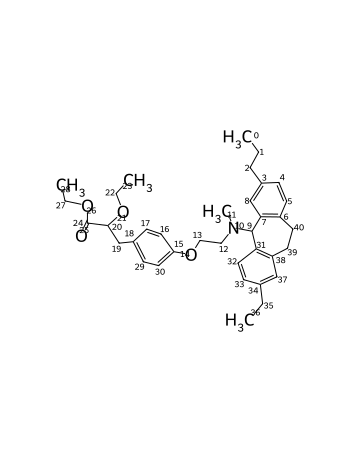 CCCc1ccc2c(c1)C(N(C)CCOc1ccc(CC(OCC)C(=O)OCC)cc1)c1ccc(CC)cc1CC2